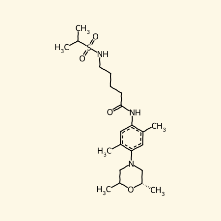 Cc1cc(N2CC(C)O[C@@H](C)C2)c(C)cc1NC(=O)CCCCNS(=O)(=O)C(C)C